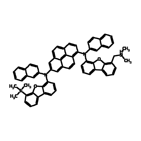 C[SiH](C)Cc1cccc2c1oc1c(N(c3ccc4ccccc4c3)c3ccc4ccc5cc(N(c6ccc7ccccc7c6)c6cccc7c6oc6c([Si](C)(C)C)cccc67)cc6ccc3c4c56)cccc12